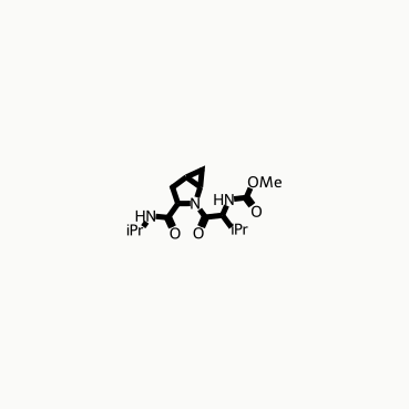 COC(=O)NC(C(=O)N1C(C(=O)NC(C)C)CC2CC21)C(C)C